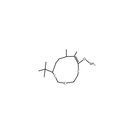 CC1=C(O[SiH3])CCCCCCC(C(C)(C)C)CCC1C